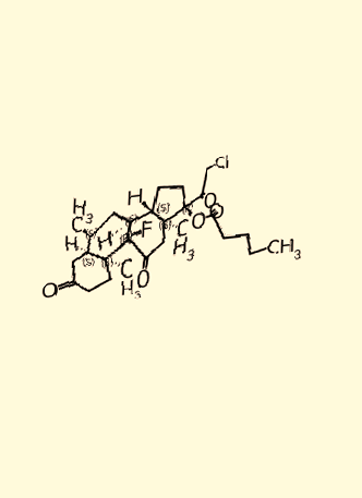 CCCCC(=O)O[C@]1(C(=O)CCl)CC[C@H]2[C@@H]3C[C@H](C)[C@@H]4CC(=O)CC[C@]4(C)[C@@]3(F)C(=O)C[C@@]21C